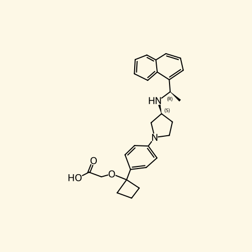 C[C@@H](N[C@H]1CCN(c2ccc(C3(OCC(=O)O)CCC3)cc2)C1)c1cccc2ccccc12